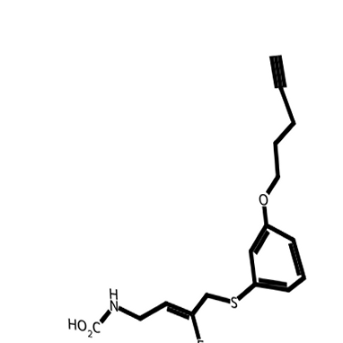 C#CCCCOc1cccc(SCC(F)=CCNC(=O)O)c1